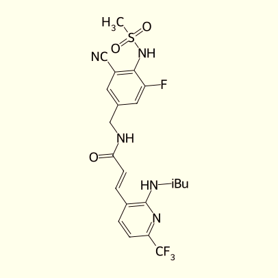 CCC(C)Nc1nc(C(F)(F)F)ccc1/C=C/C(=O)NCc1cc(F)c(NS(C)(=O)=O)c(C#N)c1